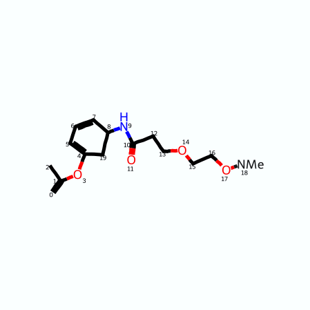 C=C(C)OC1=CC=CC(NC(=O)CCOCCONC)C1